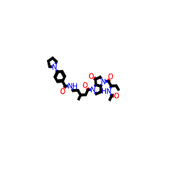 CCC(NC(C)=O)C(=O)N1CC(=O)C2C1CCN2C(=O)CC(C)CCNC(=O)c1ccc(N2CCCC2)cc1